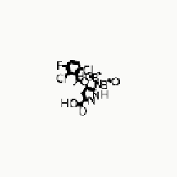 CB(O)N(BC=O)c1nnc(C(=O)O)cc1O[C@@H](C)c1c(Cl)ccc(F)c1Cl